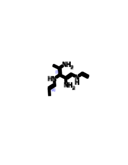 C=CNC=C(N)/C(N/C=C/C)=C(/C)N